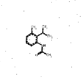 CC(=O)Nc1cccc(C)c1C(C)C